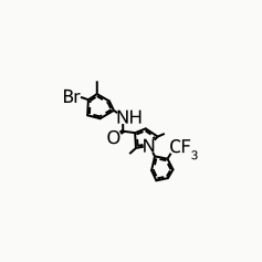 Cc1cc(NC(=O)c2cc(C)n(-c3ccccc3C(F)(F)F)c2C)ccc1Br